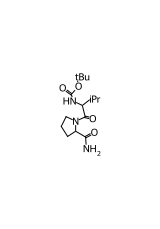 CC(C)C(NC(=O)OC(C)(C)C)C(=O)N1CCCC1C(N)=O